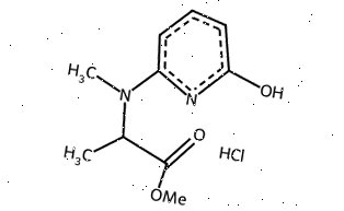 COC(=O)C(C)N(C)c1cccc(O)n1.Cl